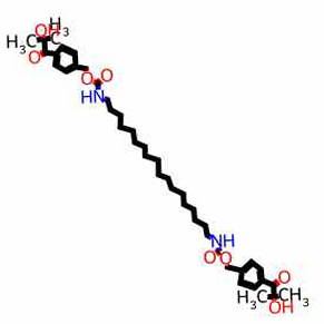 CC(C)(O)C(=O)c1ccc(COC(=O)NCCCCCCCCCCCCCCCCCCNC(=O)OCc2ccc(C(=O)C(C)(C)O)cc2)cc1